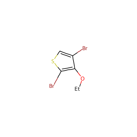 CCOc1c(Br)csc1Br